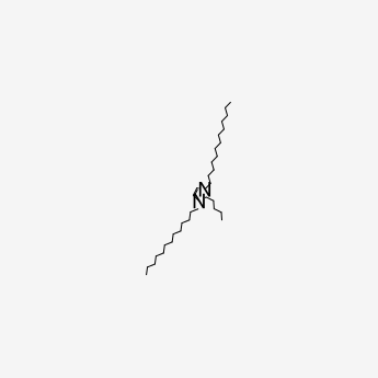 CCCCCCCCCCCCCN1C=CN(CCCCCCCCCCCCC)C1CCCC